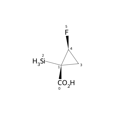 O=C(O)[C@]1([SiH3])C[C@@H]1F